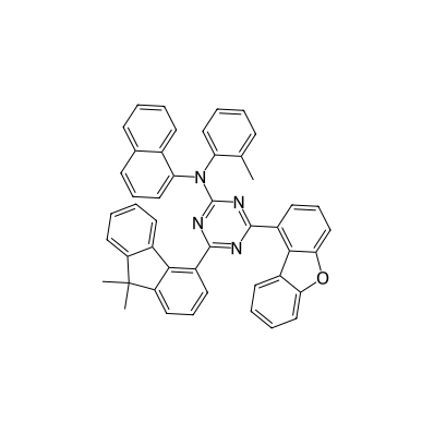 Cc1ccccc1N(c1nc(-c2cccc3c2-c2ccccc2C3(C)C)nc(-c2cccc3oc4ccccc4c23)n1)c1cccc2ccccc12